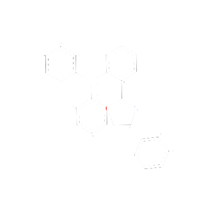 c1ccc([C@@H]2COC(c3ccccc3P(c3ccccc3)c3ccccc3)=N2)cc1